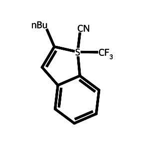 CCCCC1=Cc2ccccc2S1(C#N)C(F)(F)F